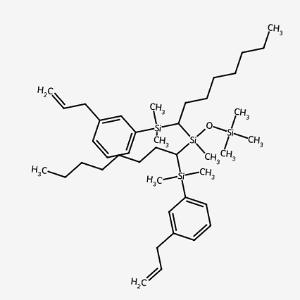 C=CCc1cccc([Si](C)(C)C(CCCCCCC)[Si](C)(O[Si](C)(C)C)C(CCCCCCC)[Si](C)(C)c2cccc(CC=C)c2)c1